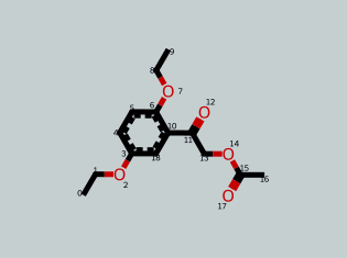 CCOc1ccc(OCC)c(C(=O)COC(C)=O)c1